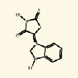 CCN1C(=O)C(=S2CN(CC)c3ccccc32)SC1=S